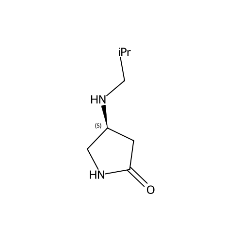 CC(C)CN[C@@H]1CNC(=O)C1